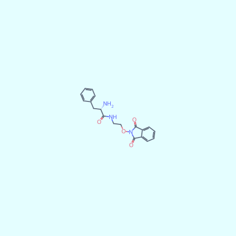 N[C@@H](Cc1ccccc1)C(=O)NCCON1C(=O)c2ccccc2C1=O